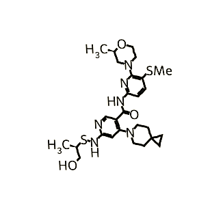 CSc1ccc(NC(=O)c2cnc(NS[C@H](C)CO)cc2N2CCC3(CC2)CC3)nc1N1CCO[C@H](C)C1